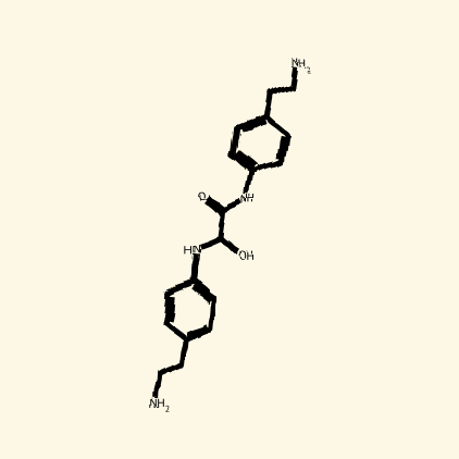 NCCc1ccc(NC(=O)C(O)Nc2ccc(CCN)cc2)cc1